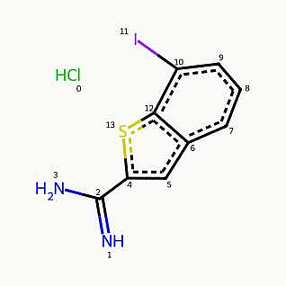 Cl.N=C(N)c1cc2cccc(I)c2s1